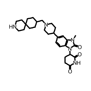 Cn1c(=O)n(C2CCC(=O)NC2=O)c2ccc(C3CCN(CC4CCC5(CCNCC5)CC4)CC3)cc21